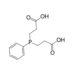 O=C(O)CCP(CCC(=O)O)c1ccccc1